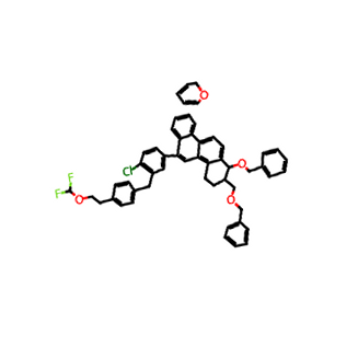 C1=CCOC=C1.FC(F)OCCc1ccc(Cc2cc(-c3cc4c5c(ccc4c4ccccc34)C(OCc3ccccc3)C(COCc3ccccc3)CC5)ccc2Cl)cc1